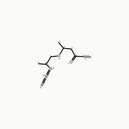 CNC(=O)CC(C)OCC(C)N=[N+]=[N-]